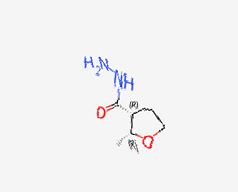 C[C@H]1OCC[C@H]1C(=O)NN